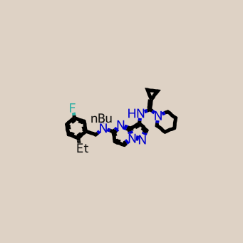 CCCCN(Cc1cc(F)ccc1CC)c1ccn2ncc(NC(=C3CC3)N3CCCCC3)c2n1